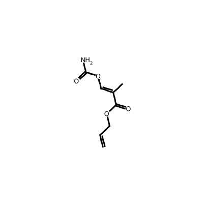 C=CCOC(=O)C(C)=COC(N)=O